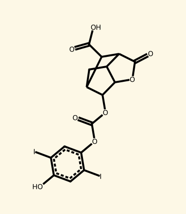 O=C(Oc1cc(I)c(O)cc1I)OC1C2CC3C1OC(=O)C3C2C(=O)O